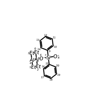 C[CH2][Al+][CH2]C.C[CH2][Al+][CH2]C.[O-][Si]([O-])(c1ccccc1)c1ccccc1